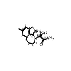 Cc1cc(C)c2c(c1)C/C=C\CN(C(=N)C(N)=O)C2=N